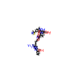 Cc1ncsc1-c1ccc(C(C)NC(=O)[C@@H]2C[C@@H](O)CN2C(=O)C(c2cc(OCCCC#Cc3cn4cc(-c5ccccc5O)nc4nc3N)no2)C(C)C)cc1